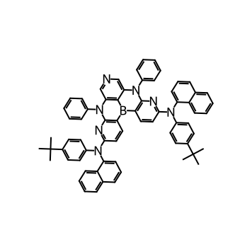 CC(C)(C)c1ccc(N(c2ccc3c(n2)N(c2ccccc2)c2cncc4c2B3c2ccc(N(c3ccc(C(C)(C)C)cc3)c3cccc5ccccc35)nc2N4c2ccccc2)c2cccc3ccccc23)cc1